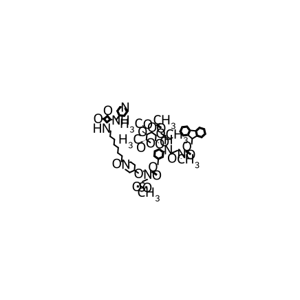 CC(=O)O[C@@H]1[C@@H](OC(C)=O)[C@H](Oc2ccc(COC(=O)N(CCS(C)(=O)=O)COC3CCN(C(=O)CCCCCCCNc4c(Nc5ccncc5)c(=O)c4=O)CC3)cc2NC(=O)CN(C)C(=O)OCC2c3ccccc3-c3ccccc32)O[C@H](C(C)=O)[C@H]1OC(C)=O